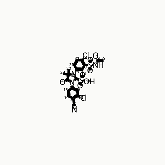 CC(=O)NS(=O)(=O)c1cc(N2C(S(=O)(=O)O)N(c3ccc(C#N)c(Cl)c3)C(=O)C2(C)C)ccc1Cl